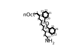 CCCCCCCC/C=C\CCCCCCCCN.c1ccc(COCc2ccccc2)cc1